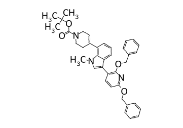 Cn1cc(-c2ccc(OCc3ccccc3)nc2OCc2ccccc2)c2cccc(C3=CCN(C(=O)OC(C)(C)C)CC3)c21